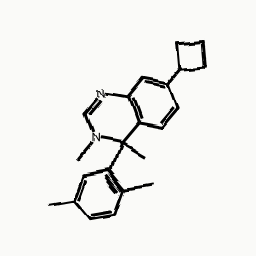 Cc1ccc(C)c(C2(C)c3ccc(C4CCC4)cc3N=CN2C)c1